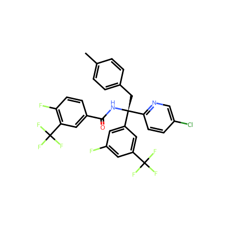 Cc1ccc(C[C@](NC(=O)c2ccc(F)c(C(F)(F)F)c2)(c2cc(F)cc(C(F)(F)F)c2)c2ccc(Cl)cn2)cc1